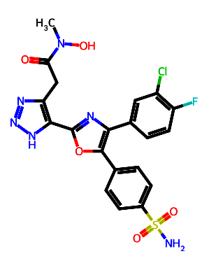 CN(O)C(=O)Cc1nn[nH]c1-c1nc(-c2ccc(F)c(Cl)c2)c(-c2ccc(S(N)(=O)=O)cc2)o1